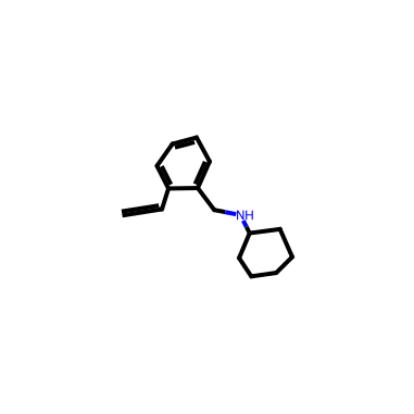 C=Cc1ccccc1CNC1CCCCC1